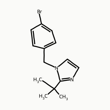 CC(C)(C)c1nccn1Cc1ccc(Br)cc1